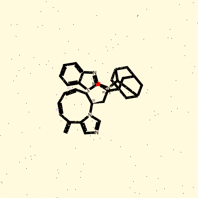 C=C1/C=C\C=C/C[C@@H](C[C@@H](O)C23CC4CC(C2)C(Nc2nc5ccccc5s2)C(C4)C3)n2cncc21